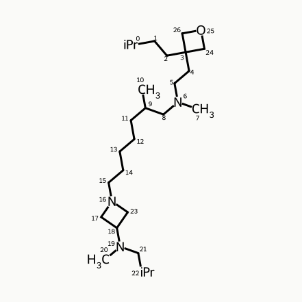 CC(C)CCC1(CCN(C)CC(C)CCCCCN2CC(N(C)CC(C)C)C2)COC1